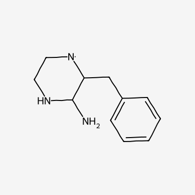 NC1NCC[N]C1Cc1ccccc1